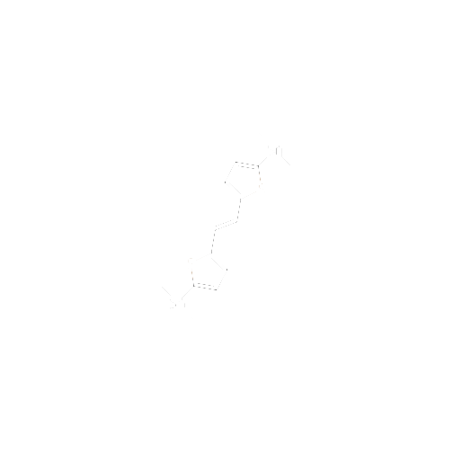 [CH3][Sn]([CH3])([CH3])[c]1ccc(/C=C/c2cc[c]([Sn]([CH3])([CH3])[CH3])s2)s1